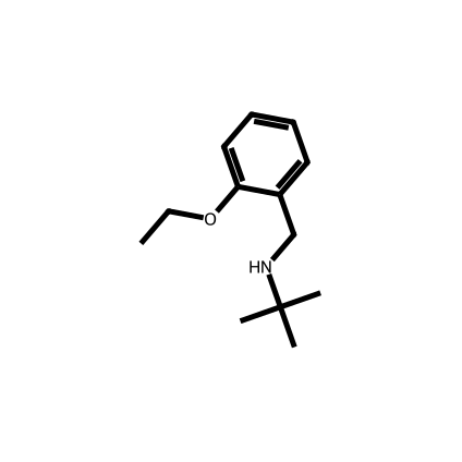 CCOc1ccccc1CNC(C)(C)C